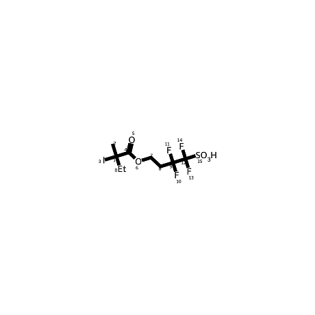 CCC(C)(I)C(=O)OCCC(F)(F)C(F)(F)S(=O)(=O)O